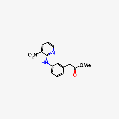 COC(=O)Cc1cccc(Nc2ncccc2[N+](=O)[O-])c1